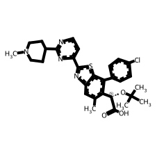 Cc1cc2nc(-c3ccnc(C4CCN(C)CC4)n3)sc2c(-c2ccc(Cl)cc2)c1[C@H](OC(C)(C)C)C(=O)O